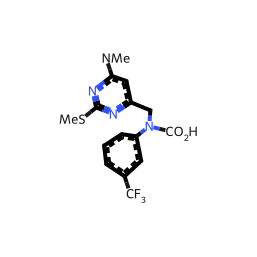 CNc1cc(CN(C(=O)O)c2cccc(C(F)(F)F)c2)nc(SC)n1